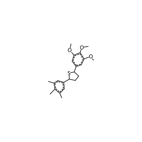 COc1cc(C2CCC(c3cc(C)c(C)c(C)c3)S2)cc(OC)c1OC